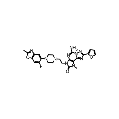 Cc1nc2cc(N3CCN(CCn4c(=O)n(C)c5c4nc(N)n4nc(-c6ccco6)nc54)CC3)c(F)cc2o1